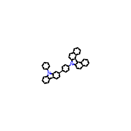 c1ccc(-n2c3ccccc3c3ccc(-c4ccc(-n5c6ccc7ccccc7c6c6c7ccccc7ccc65)cc4)cc32)cc1